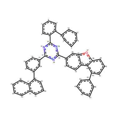 c1ccc(-c2ccccc2-c2nc(-c3cccc(-c4cccc5ccccc45)c3)nc(-c3ccc4c(c3)oc3cccc(-c5ccccc5)c34)n2)cc1